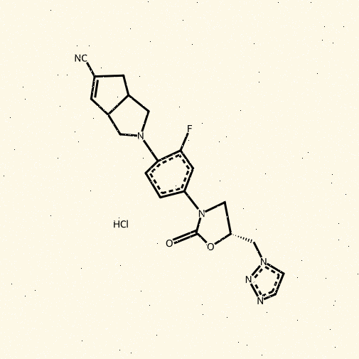 Cl.N#CC1=CC2CN(c3ccc(N4C[C@H](Cn5ccnn5)OC4=O)cc3F)CC2C1